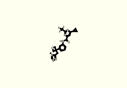 Cn1cnnc1CC1(c2cccc(NC(=O)c3cc(C4CC4)nc(C(F)(F)F)n3)c2)COC1